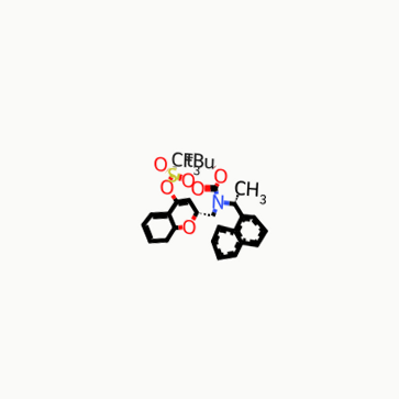 C[C@H](c1cccc2ccccc12)N(C[C@H]1C=C(OS(=O)(=O)C(F)(F)F)C2=CC=CCC2O1)C(=O)OC(C)(C)C